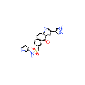 Cn1cc(-c2cnc3ccc4ccc(CS(=O)(=O)Nc5cccnc5)cc4c(=O)c3c2)cn1